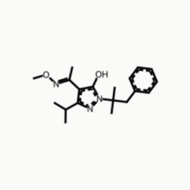 CON=C(C)c1c(C(C)C)nn(C(C)(C)Cc2ccccc2)c1O